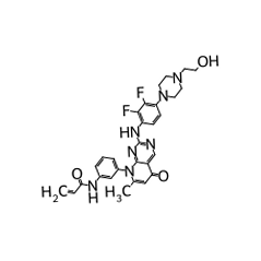 C=CC(=O)Nc1cccc(-n2c(C)cc(=O)c3cnc(Nc4ccc(N5CCN(CCO)CC5)c(F)c4F)nc32)c1